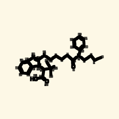 CCCCN(C(=O)CCCCSc1nc2ccccc2n1C(C(=O)O)C(C)(C)C)c1ccccc1